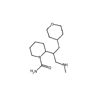 CNCC(CC1CCOCC1)C1CCCCN1C(N)=O